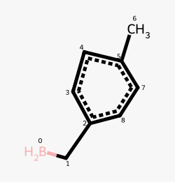 BCc1ccc(C)cc1